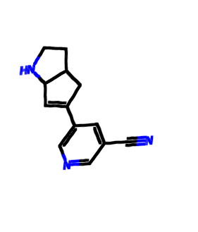 N#Cc1cncc(C2=CC3NCCC3C2)c1